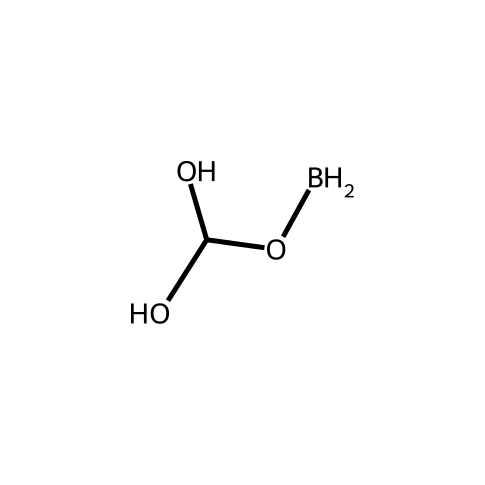 BOC(O)O